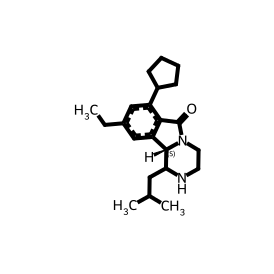 CCc1cc(C2CCCC2)c2c(c1)[C@H]1C(CC(C)C)NCCN1C2=O